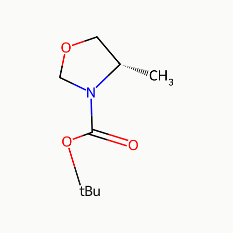 C[C@H]1COCN1C(=O)OC(C)(C)C